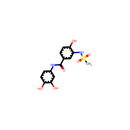 CS(=O)(=O)Nc1cc(C(=O)Nc2ccc(O)c(O)c2)ccc1O